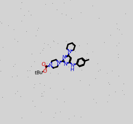 Cc1ccc(Nc2cc(N3CCCCC3)nc(N3CCN(C(=O)OC(C)(C)C)CC3)n2)cc1